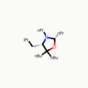 CCCCC1(CCCC)O[C@@H](CCC)N(CCC)[C@H]1CC(C)C